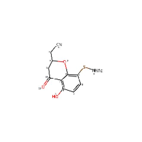 CC(=O)NSc1ccc(O)c2c1OC(CC#N)CC2=O